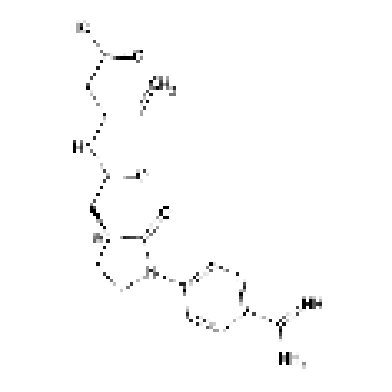 C=CC(CC(=O)O)NC(=O)C[C@@H]1CCN(c2ccc(C(=N)N)cc2)C1=O